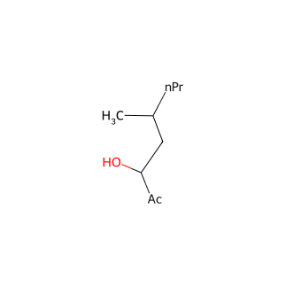 CCCC(C)CC(O)C(C)=O